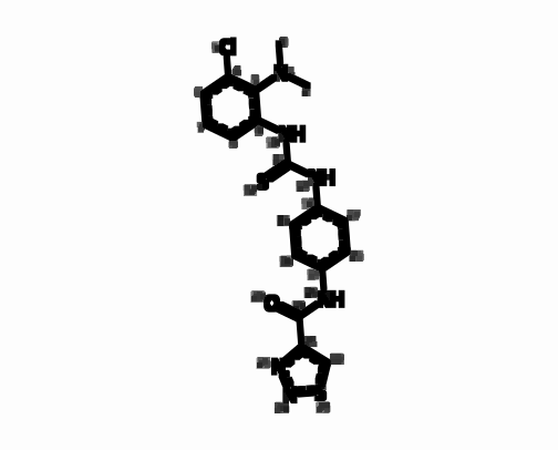 CN(C)c1c(Cl)cccc1NC(=S)Nc1ccc(NC(=O)c2csnn2)cc1